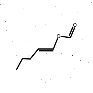 CCC/C=C/OC=O